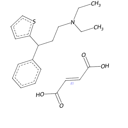 CCN(CC)CCC(c1ccccc1)c1cccs1.O=C(O)/C=C/C(=O)O